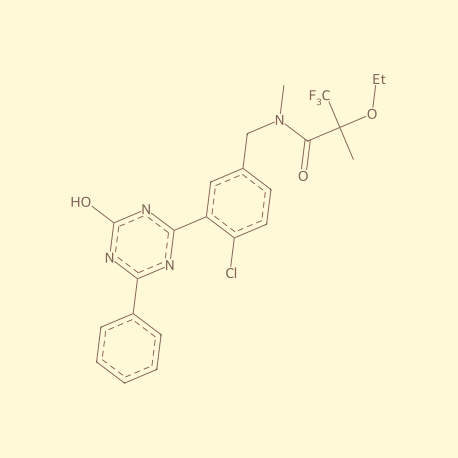 CCOC(C)(C(=O)N(C)Cc1ccc(Cl)c(-c2nc(O)nc(-c3ccccc3)n2)c1)C(F)(F)F